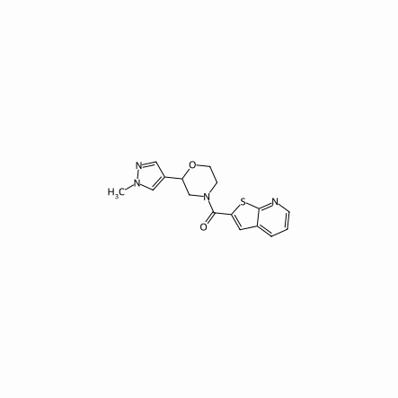 Cn1cc(C2CN(C(=O)c3cc4cccnc4s3)CCO2)cn1